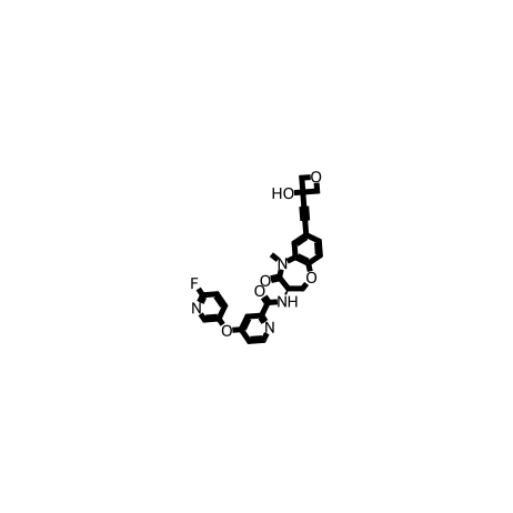 CN1C(=O)[C@@H](NC(=O)c2cc(Oc3ccc(F)nc3)ccn2)COc2ccc(C#CC3(O)COC3)cc21